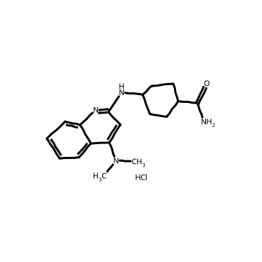 CN(C)c1cc(NC2CCC(C(N)=O)CC2)nc2ccccc12.Cl